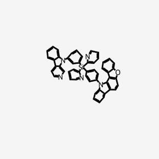 c1ccc([Si](c2ccc(-n3c4ccccc4c4ccc5oc6ccccc6c5c43)cc2)(c2cccc(-n3c4ccccc4c4ccncc43)c2)c2ccccn2)nc1